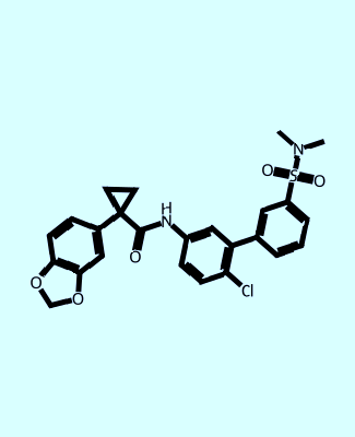 CN(C)S(=O)(=O)c1cccc(-c2cc(NC(=O)C3(c4ccc5c(c4)OCO5)CC3)ccc2Cl)c1